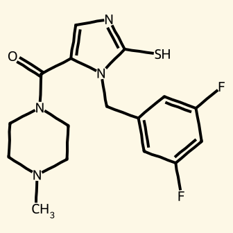 CN1CCN(C(=O)c2cnc(S)n2Cc2cc(F)cc(F)c2)CC1